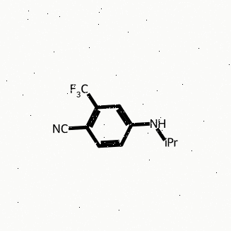 CC(C)Nc1ccc(C#N)c(C(F)(F)F)c1